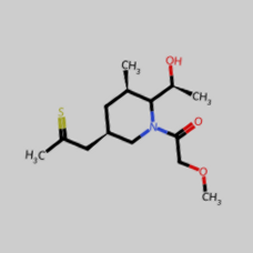 COCC(=O)N1C[C@@H](CC(C)=S)C[C@@H](C)C1[C@H](C)O